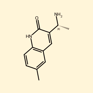 Cc1ccc2[nH]c(=O)c([C@@H](C)N)cc2c1